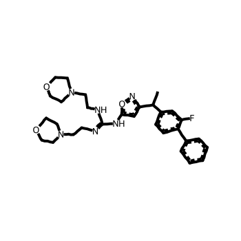 CC(c1ccc(-c2ccccc2)c(F)c1)c1cc(N/C(=N/CCN2CCOCC2)NCCN2CCOCC2)on1